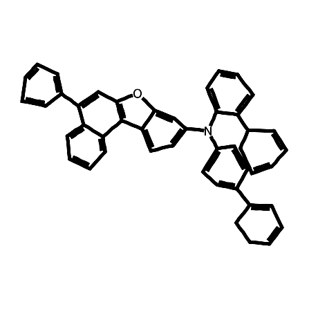 C1=CCCC(c2ccc(N(c3ccc4c(c3)oc3cc(-c5ccccc5)c5ccccc5c34)c3ccccc3C3C=CC=CC3)cc2)=C1